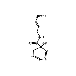 [2H]C1(C(=O)NCC=CCCCCC)C=CC=CC1